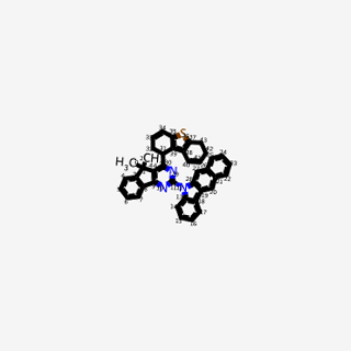 CC1(C)c2ccccc2-c2nc(-n3c4ccccc4c4cc5ccccc5cc43)nc(C3CC=Cc4sc5c(c43)C=CCC5)c21